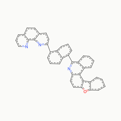 c1cnc2c(c1)ccc1ccc(-c3cccc4c(-c5nc6ccc7oc8ccccc8c7c6c6ccccc56)cccc34)nc12